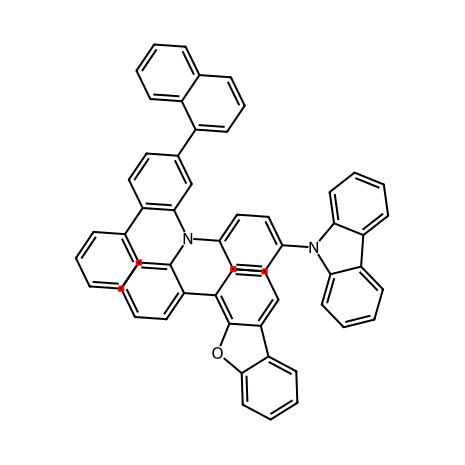 c1ccc(-c2ccc(-c3cccc4ccccc34)cc2N(c2ccc(-n3c4ccccc4c4ccccc43)cc2)c2ccccc2-c2cccc3c2oc2ccccc23)cc1